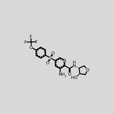 Nc1cc(S(=O)(=O)c2ccc(OC(F)(F)F)cc2)cnc1C(=O)N[C@@H]1COC[C@H]1O